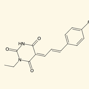 CCN1C(=O)NC(=O)/C(=C\C=C\c2ccc(F)cc2)C1=O